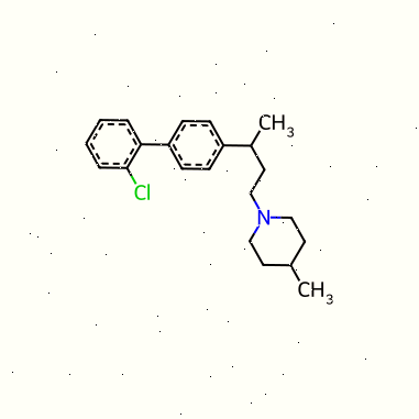 CC1CCN(CCC(C)c2ccc(-c3ccccc3Cl)cc2)CC1